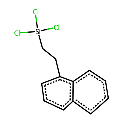 Cl[Si](Cl)(Cl)CCc1cccc2ccccc12